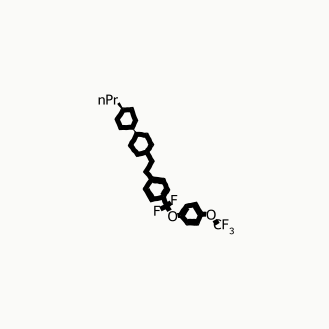 CCC[C@H]1CC[C@H](C2CCC(CCc3ccc(C(F)(F)Oc4ccc(OC(F)(F)F)cc4)cc3)CC2)CC1